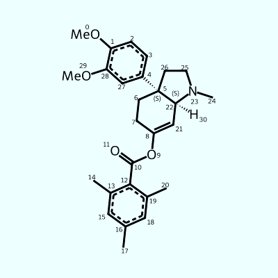 COc1ccc([C@@]23CCC(OC(=O)c4c(C)cc(C)cc4C)=C[C@@H]2N(C)CC3)cc1OC